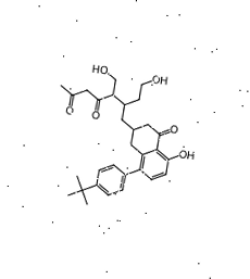 CC(=O)CC(=O)C(CO)C(CCO)CC1CC(=O)c2c(O)ccc(-c3ccc(C(C)(C)C)cc3)c2C1